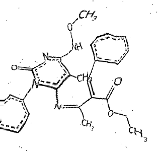 CCOC(=O)C(=C\c1ccccc1)/C(C)=N\c1c(C)c(NOC)nc(=O)n1-c1ccccc1